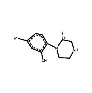 CC(C)c1ccc(N2CCNC[C@H]2C)c(C#N)c1